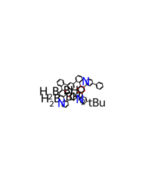 Bc1c(B)c(-c2ccccc2-c2cc(-c3ccccc3-c3ccc(-c4cc(-c5ccccc5)ccn4)cc3)cc(-c3ccccc3-c3ccc(-c4cc(C(C)(C)C)ccn4)cc3)c2)c(B)c(B)c1-c1ccccn1